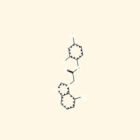 O=C(Cn1cnc2cccc([N+](=O)[O-])c21)Nc1ccc(Br)cc1F